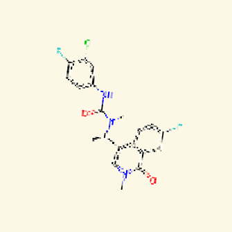 C[C@H](c1cn(C)c(=O)c2cc(F)ccc12)N(C)C(=O)Nc1ccc(F)c(Cl)c1